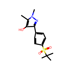 Cc1c(O)c(-c2ccc(S(=O)(=O)C(C)(C)C)cc2)nn1C